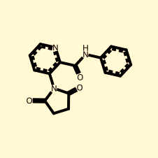 O=C(Nc1ccccc1)c1ncccc1N1C(=O)CCC1=O